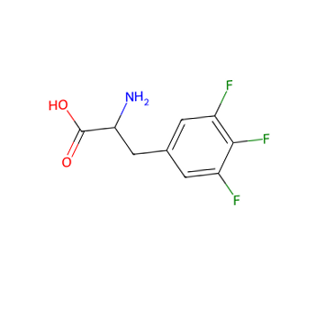 NC(Cc1cc(F)c(F)c(F)c1)C(=O)O